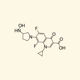 O=C(O)c1cn(C2CC2)c2c(F)c(N3CCC(NO)C3)c(F)cc2c1=O